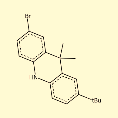 CC(C)(C)c1ccc2c(c1)C(C)(C)c1cc(Br)ccc1N2